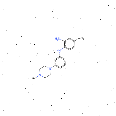 CC(=O)N1CCN(c2cccc(Nc3ccc(C)cc3N)c2)CC1